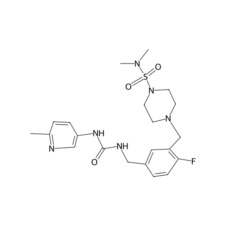 Cc1ccc(NC(=O)NCc2ccc(F)c(CN3CCN(S(=O)(=O)N(C)C)CC3)c2)cn1